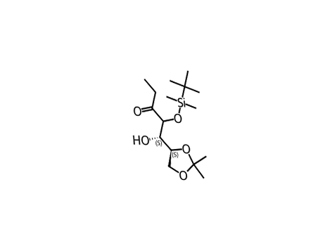 CCC(=O)C(O[Si](C)(C)C(C)(C)C)[C@@H](O)[C@@H]1COC(C)(C)O1